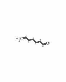 C=CCCCCC=O